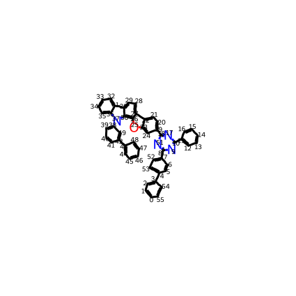 c1ccc(-c2ccc(-c3nc(-c4ccccc4)nc(-c4ccc5c(c4)oc4c5ccc5c6ccccc6n(-c6cccc(-c7ccccc7)c6)c54)n3)cc2)cc1